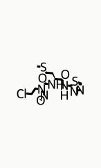 CSCC[C@H](NC(=O)N(CCCl)N=O)C(=O)Nc1nncs1